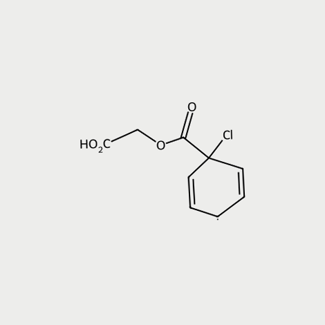 O=C(O)COC(=O)C1(Cl)C=C[CH]C=C1